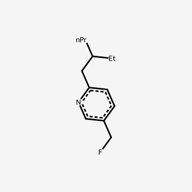 CCCC(CC)Cc1ccc(CF)cn1